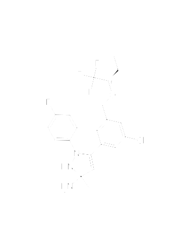 CC[C@@H](OCc1cc(Cl)cc(C2=CC(C)(N)NN2c2ccc(F)cc2)c1)C(F)(F)F